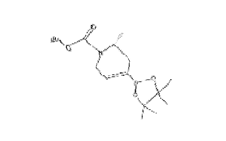 C[C@@H]1CC(B2OC(C)(C)C(C)(C)O2)=CCN1C(=O)OC(C)(C)C